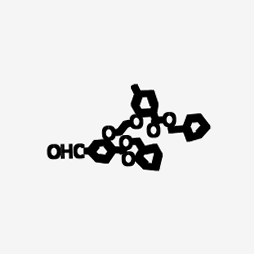 Cc1ccc(C(=O)OCc2ccccc2)c(OCCOc2cc(C=O)ccc2C(=O)OCc2ccccc2)c1